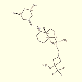 COC1(C(F)(F)F)CN(CC[C@@H](C)[C@H]2CC[C@H]3/C(=C/C=C4C[C@@H](O)C[C@H](O)C4)CCC[C@]23C)C1